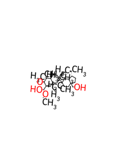 C=C(C)[C@@H]1CC[C@]2(CO)CC[C@@](C)([C@]3(C)CC[C@H]4C(C)(C)C(=O)C(C(O)OCC)=C[C@]4(C)[C@H]3CC)[C@H](C)C12